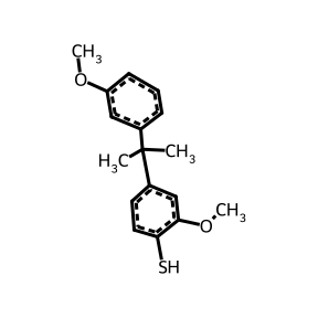 COc1cccc(C(C)(C)c2ccc(S)c(OC)c2)c1